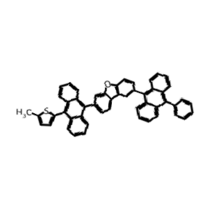 Cc1ccc(-c2c3ccccc3c(-c3ccc4c(c3)oc3ccc(-c5c6ccccc6c(-c6ccccc6)c6ccccc56)cc34)c3ccccc23)s1